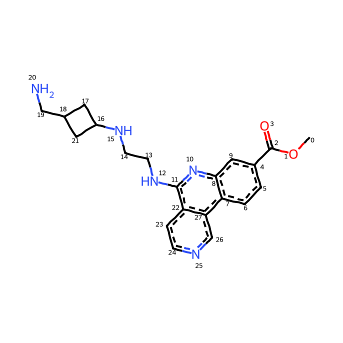 COC(=O)c1ccc2c(c1)nc(NCCNC1CC(CN)C1)c1ccncc12